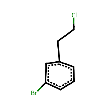 ClCCc1cccc(Br)c1